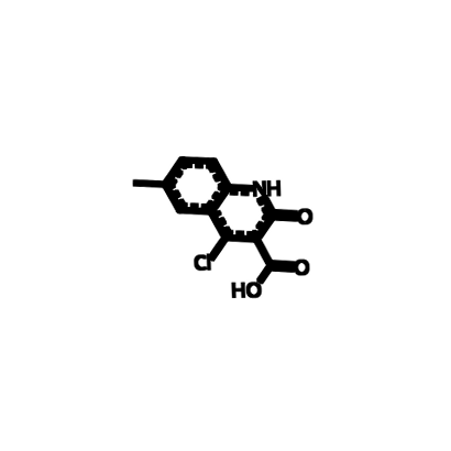 Cc1ccc2[nH]c(=O)c(C(=O)O)c(Cl)c2c1